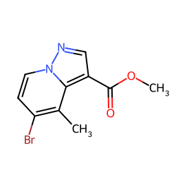 COC(=O)c1cnn2ccc(Br)c(C)c12